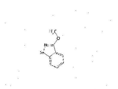 COc1n[se]c2ccccc12